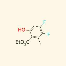 CCOC(=O)c1c(O)cc(F)c(F)c1C